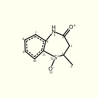 CC1CC(=O)Nc2ccccc2[S+]1[O-]